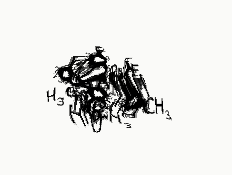 C[C@@H]1[C@@H]2c3c(C(F)F)nn(CC(=O)NC(Cc4cc(F)cc(F)c4)c4nc5ccccc5cc4-c4ccc(Cl)c5c(NS(C)(=O)=O)nn(C)c45)c3C(F)(F)[C@H]12